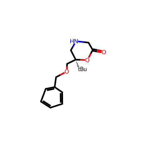 CC(C)(C)[C@]1(COCc2ccccc2)CNCC(=O)O1